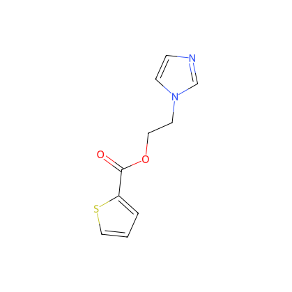 O=C(OCCn1ccnc1)c1cccs1